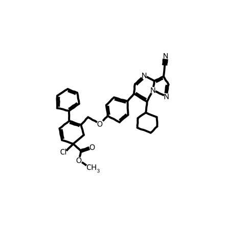 COC(=O)C1(Cl)C=CC(c2ccccc2)=C(COc2ccc(-c3cnc4c(C#N)cnn4c3C3CCCCC3)cc2)C1